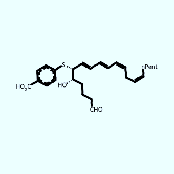 CCCCC/C=C\C\C=C/C=C/C=C/[C@@H](Sc1ccc(C(=O)O)cc1)[C@@H](O)CCCC=O